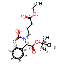 CCOC(=O)CCCN(C(=O)O)[C@@H](C(=O)OC(C)(C)C)c1ccccc1